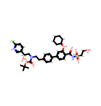 CC(C)(C)OC(=O)N(CCc1ccc(-c2ccc(C(=O)NS(=O)(=O)CCO)c(OC3CCCCC3)c2)cc1)C[C@H](O)c1ccc(Cl)nc1